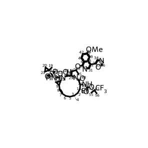 CC[C@@H]1C[C@H](C)CC/C=C\C2C[C@@]2(C(=O)NS(=O)(=O)C2(C)CC2)NC(=O)[C@@H]2C[C@@H](Oc3ncc(-c4cnco4)c4cc(OC)ccc34)CN2C(=O)[C@H]1NC(=O)OC(C)(C)C(F)(F)F